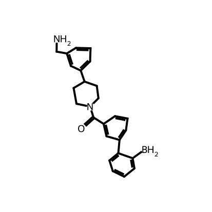 Bc1ccccc1-c1cccc(C(=O)N2CCC(c3cccc(CN)c3)CC2)c1